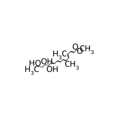 COC(=O)C=CC(C)=CC(C)=CC=CC=CC(O)C(O)CC(C)O